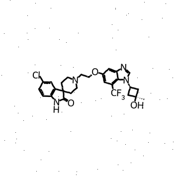 C[C@]1(O)C[C@@H](n2cnc3cc(OCCN4CCC5(CC4)C(=O)Nc4ccc(Cl)cc45)cc(C(F)(F)F)c32)C1